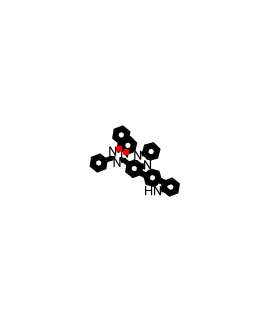 c1ccc(-c2nc(-c3ccccc3)nc(-c3ccc4c5cc6[nH]c7ccccc7c6cc5n5c4c3N(c3ccccc3)c3ccccc3-5)n2)cc1